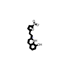 O=[N+]([O-])c1ccc(C/C=C2\C=Cc3cccc(O)c3N2)o1